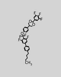 CCCCCc1ccc(-c2cc(F)c(C(F)(F)Oc3ccc(C4COC(c5cc(F)c(F)c(F)c5)OC4)cc3)c(F)c2)cc1